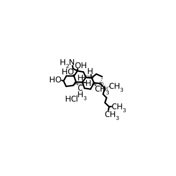 CC(C)CCC[C@@H](C)[C@H]1CC[C@H]2[C@@H]3CC(O)(CN)C4(O)CC(O)CC[C@]4(C)[C@H]3CC[C@]12C.Cl